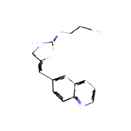 CCCN=C1NCC(=Cc2ccc3ncccc3c2)S1